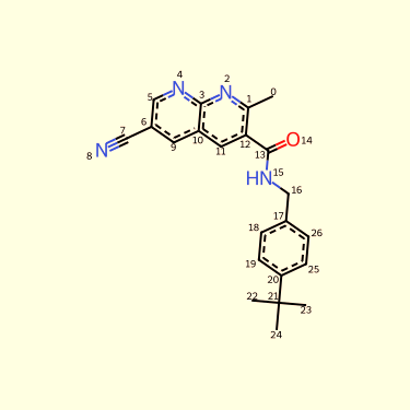 Cc1nc2ncc(C#N)cc2cc1C(=O)NCc1ccc(C(C)(C)C)cc1